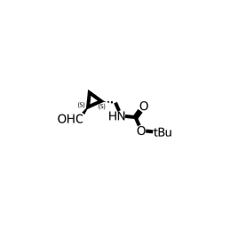 CC(C)(C)OC(=O)NC[C@H]1C[C@@H]1C=O